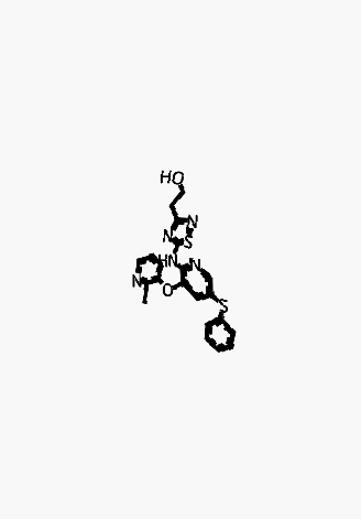 Cc1ncccc1Oc1cc(Sc2ccccc2)cnc1Nc1nc(CCO)ns1